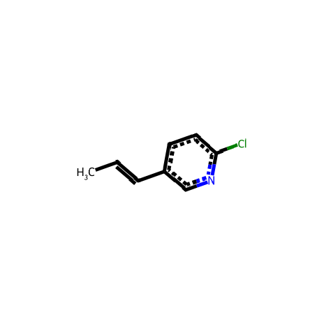 CC=Cc1ccc(Cl)nc1